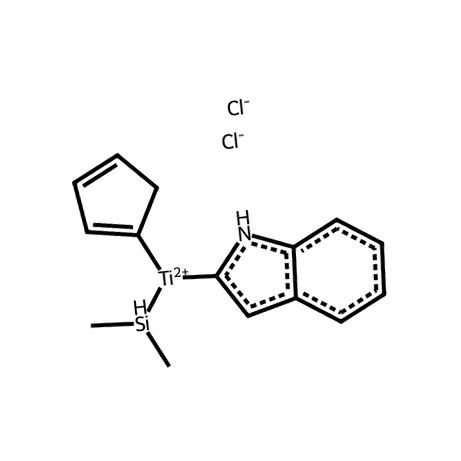 C[SiH](C)[Ti+2]([C]1=CC=CC1)[c]1cc2ccccc2[nH]1.[Cl-].[Cl-]